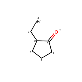 CC(C)CC1CCCC1=O